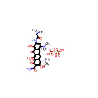 CN(C)CC(=O)Nc1cc(N(C)C)c2c(c1O)C(=O)C1=C(O)[C@]3(O)C(=O)C(C(N)=O)=C(O)[C@@H](N(C)C)C3CC1C2.O=S(=O)(O)O.O=S(=O)(O)O